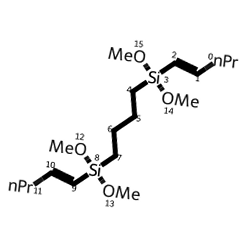 CCCC=C[Si](CCCC[Si](C=CCCC)(OC)OC)(OC)OC